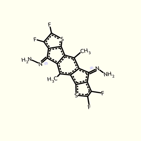 Cc1c2/c(=N/N)c3c(F)c(F)sc3c2c(C)c2/c(=N/N)c3c(F)c(F)sc3c12